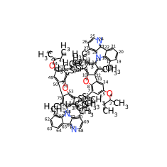 CCC(C)Oc1cc2c3oc4c(c(C)c(-n5c6c(C)cccc6c6nccc(C)c65)c(C)c4c3c1)[Si](C)(C)[Si](C)(C)c1cc(OC(C)CC)cc3c1oc1c(c(C)c(-n4c5c(C)cccc5c5nccc(C)c54)c(C)c13)[Si](C)(C)[Si]2(C)C